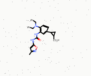 Cc1cc(NC(=O)Nc2cc(C3CC3C(=O)O)ccc2N(CC(C)C)CC(C)C)on1